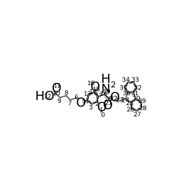 COc1cc(OCCCCC(=O)O)cc(OC)c1C(N)C(=O)OCC1c2ccccc2-c2ccccc21